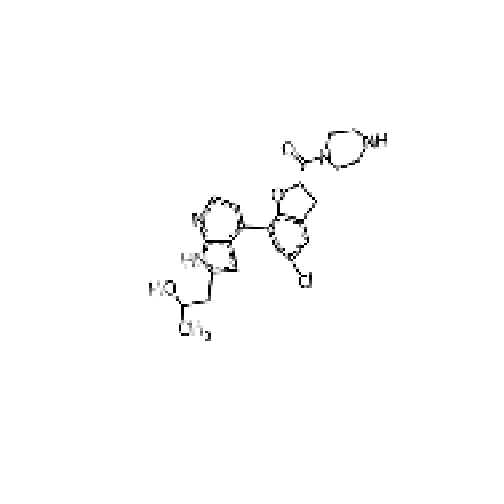 CC(O)Cc1cc2c(-c3cc(Cl)cc4c3O[C@H](C(=O)N3CCNCC3)C4)ccnc2[nH]1